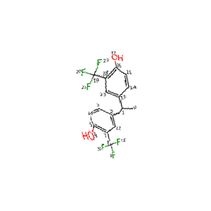 CC(c1ccc(O)c(C(F)(F)F)c1)c1ccc(O)c(C(F)(F)F)c1